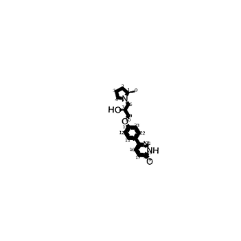 C[C@@H]1CCCN1C[C@H](O)COc1ccc(-c2ccc(=O)[nH]n2)cc1